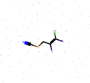 N#CSC/C(I)=C(\Cl)I